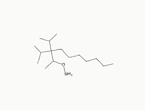 CCCCCCCC(C(C)C)(C(C)C)C(C)O[SiH3]